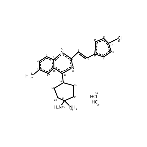 Cc1ccc2nc(C=Cc3ccc(Cl)cc3)nc(C3CCC(N)(N)CC3)c2c1.Cl.Cl